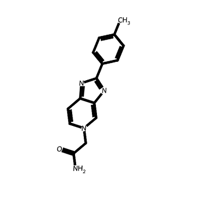 Cc1ccc(-c2nc3ccn(CC(N)=O)cc-3n2)cc1